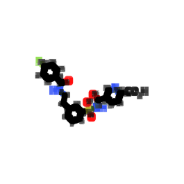 O=C(NCCc1cccc(S(=O)(=O)NC(=O)c2ccc(C(=O)O)nc2)c1)c1ccc(F)cc1